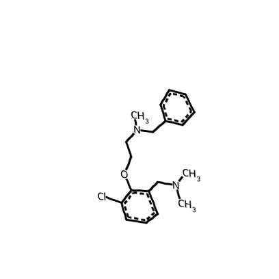 CN(C)Cc1cccc(Cl)c1OCCN(C)Cc1ccccc1